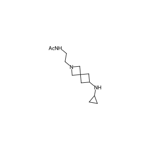 CC(=O)NCCN1CC2(CC(NC3CC3)C2)C1